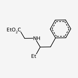 CCOC(=O)CNC(CC)Cc1ccccc1